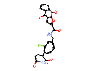 O=C1CCC(c2ccc(CNC(=O)c3cc4c(o3)C(=O)c3ccccc3C4=O)cc2F)C(=O)N1